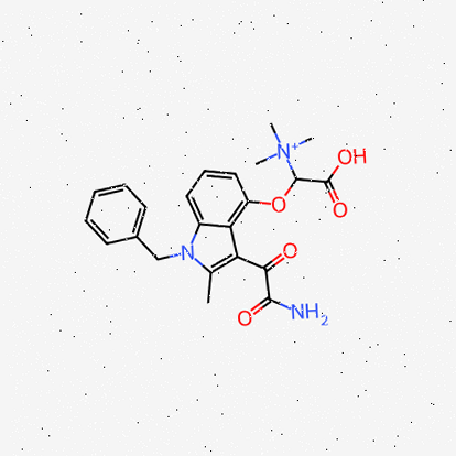 Cc1c(C(=O)C(N)=O)c2c(OC(C(=O)O)[N+](C)(C)C)cccc2n1Cc1ccccc1